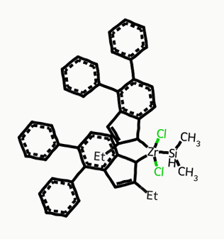 CCC1=Cc2c(ccc(-c3ccccc3)c2-c2ccccc2)[CH]1[Zr]([Cl])([Cl])([CH]1C(CC)=Cc2c1ccc(-c1ccccc1)c2-c1ccccc1)[SiH](C)C